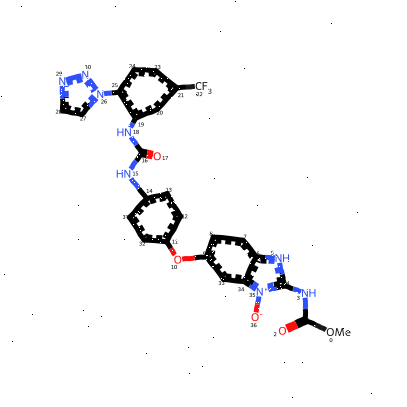 COC(=O)Nc1[nH]c2ccc(Oc3ccc(NC(=O)Nc4cc(C(F)(F)F)ccc4-n4ccnn4)cc3)cc2[n+]1[O-]